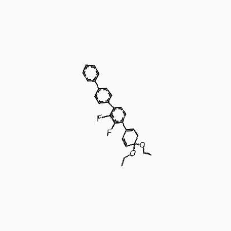 CCOC1(OCC)C=CC(c2ccc(-c3ccc(-c4ccccc4)cc3)c(F)c2F)=CC1